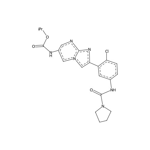 CC(C)OC(=O)Nc1cnc2nc(-c3cc(NC(=O)N4CCCC4)ccc3Cl)cn2c1